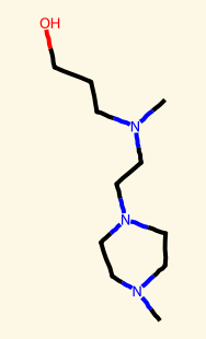 CN(CCCO)CCN1CCN(C)CC1